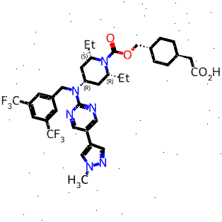 CC[C@@H]1C[C@H](N(Cc2cc(C(F)(F)F)cc(C(F)(F)F)c2)c2ncc(-c3cnn(C)c3)cn2)C[C@H](CC)N1C(=O)OC[C@H]1CC[C@H](CC(=O)O)CC1